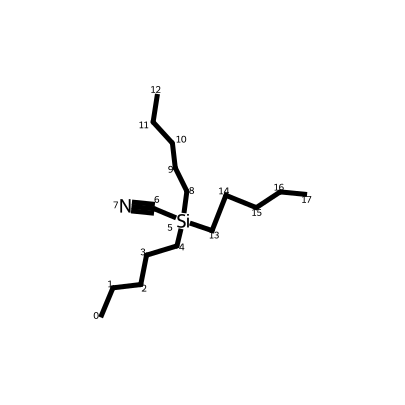 CCCCC[Si](C#N)(CCCCC)CCCCC